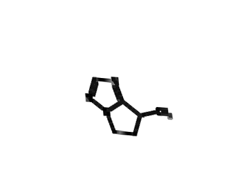 C[C]1CCn2ncnc21